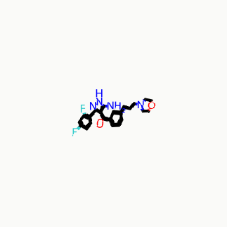 Nc1[nH]nc(-c2ccc(F)cc2F)c1C(=O)c1cccc(CCCN2CCOCC2)c1